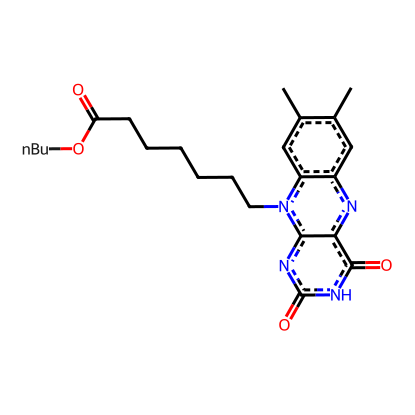 CCCCOC(=O)CCCCCCn1c2nc(=O)[nH]c(=O)c-2nc2cc(C)c(C)cc21